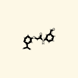 CC(C)c1cccc(OCC(=O)Nc2cccc(C=O)c2)c1